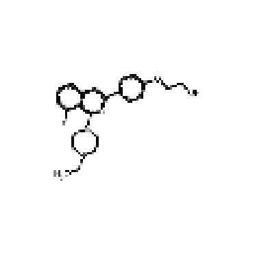 CCN1CCN(c2nc(-c3ccc(OCCO)cc3)cc3cccc(F)c23)CC1